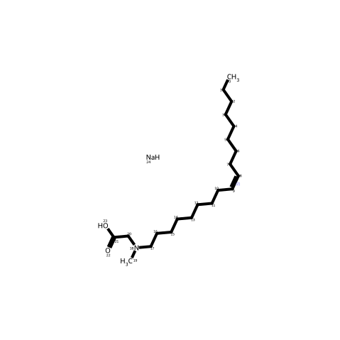 CCCCCCCC/C=C\CCCCCCCCN(C)CC(=O)O.[NaH]